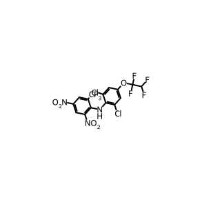 O=[N+]([O-])c1cc([N+](=O)[O-])c(Nc2c(Cl)cc(OC(F)(F)C(F)F)cc2Cl)c(C(F)(F)F)c1